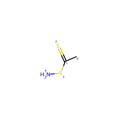 CC(=S)SN